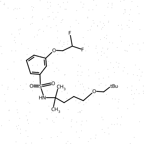 CC(C)(C)COCCCC(C)(C)NS(=O)(=O)c1cccc(OCC(F)F)c1